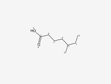 CCC(C)CCCC(=O)O